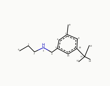 CCCNCc1cc(C)cc(C(C)(C)C)c1